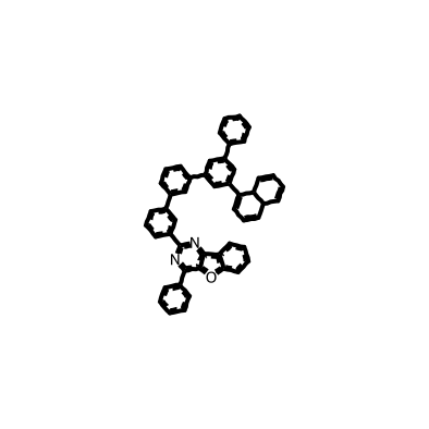 C1=CC2C=CC=C(c3cc(-c4ccccc4)cc(-c4cccc(-c5cccc(-c6nc(-c7ccccc7)c7oc8ccccc8c7n6)c5)c4)c3)C2C=C1